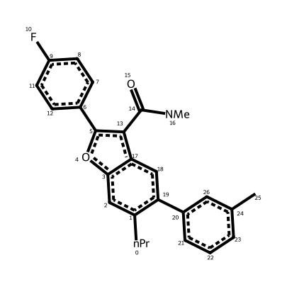 CCCc1cc2oc(-c3ccc(F)cc3)c(C(=O)NC)c2cc1-c1cccc(C)c1